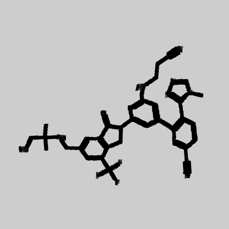 Cn1cnnc1-c1ccc(C#N)cc1-c1cc(NCCC#N)nc(N2Cc3c(cc(CNC(C)(C)CO)cc3C(F)(F)F)C2=O)c1